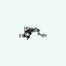 C=Cc1c(C)c2cc3nc(c4c5[nH]c(cc6nc(cc1[nH]2)C(C)=C6CC)c(C)c5C(=O)[C@H]4C(=O)OC)[C@H](CCC(=O)OC/C=C(\C)CCC[C@@H](C)CCC[C@@H](C)CCCC(C)C)[C@H]3C